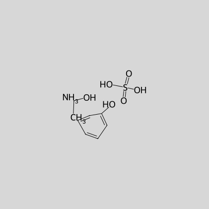 CCO.N.O=S(=O)(O)O.Oc1ccccc1